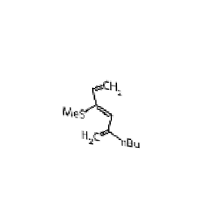 C=C/C(=C/C(=C)CCCC)SC